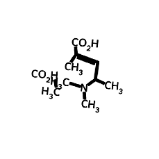 CC(=CC(C)N(C)C)C(=O)O.CC(=O)O